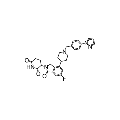 O=C1CCC(N2Cc3c(cc(F)cc3C3CCN(Cc4ccc(-n5cccn5)cc4)CC3)C2=O)C(=O)N1